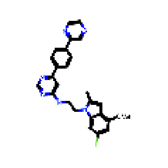 COc1cc(F)cc2c1cc(C)n2CCNc1cc(-c2ccc(-c3cnccn3)cc2)ncn1